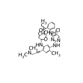 C=CC(=O)Nc1cc(Nc2ncc(Cl)c(Nc3ccccc3P(C)(C)=O)n2)c(C)cc1C#CCN(C)C